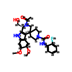 COc1cc2[nH]c3c(c2cc1OC)C1(CCN(C(=O)Nc2ccccc2F)CC1)CN(C(C)=O)[C@H]3CO